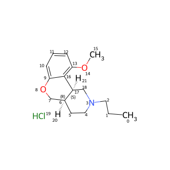 CCCN1CC[C@H]2COc3cccc(OC)c3[C@H]2C1.Cl